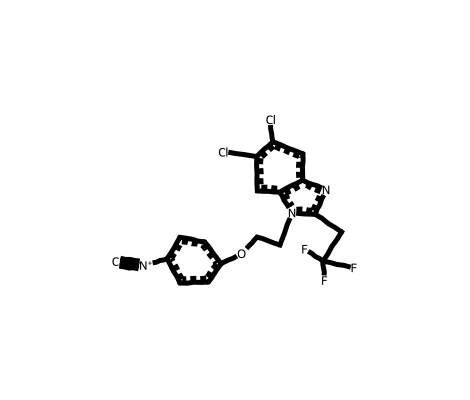 [C-]#[N+]c1ccc(OCCn2c(CC(F)(F)F)nc3cc(Cl)c(Cl)cc32)cc1